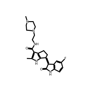 Cc1[nH]c2c(c1C(=O)NCCN1CCN(C)CC1)CC/C2=C1/C(=O)Nc2ccc(F)cc21